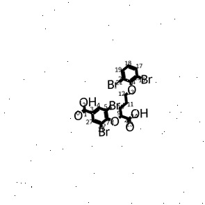 O=C(O)c1cc(Br)c(OC(CCCOc2c(Br)cccc2Br)C(=O)O)c(Br)c1